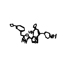 O=c1cc(C2CCNCC2)n2ncc(-c3nnc(Cc4cccc(Cl)c4)o3)c2[nH]1